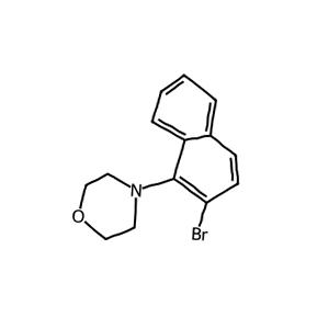 Brc1ccc2ccccc2c1N1CCOCC1